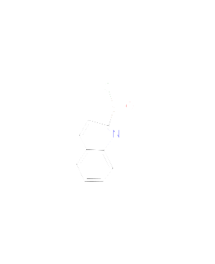 [O-][S+](Cl)c1ccc2ccccc2n1